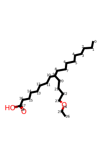 CCCCCCCCCC(CCCCCCCC(=O)O)CCCCOCC